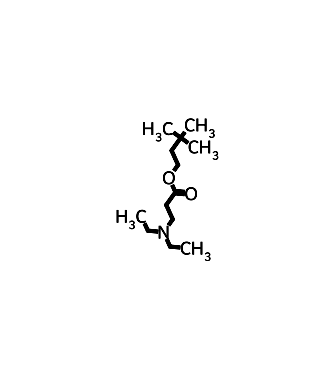 CCN(CC)CCC(=O)OCCC(C)(C)C